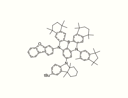 Cc1cc2c(cc1N1c3cc4c(cc3B3c5cc6c(cc5N(c5ccc7c(c5)oc5ccccc57)c5cc(N7c8ccc(C(C)(C)C)cc8C8(C)CCCCC78C)cc1c53)C(C)(C)CCC6(C)C)C(C)(C)CCC4(C)C)C(C)(C)CC2(C)C